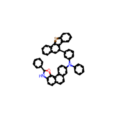 c1ccc(C2Nc3ccc4ccc5cc(N(c6ccccc6)c6cccc(-c7cc8ccccc8c8sc9ccccc9c78)c6)ccc5c4c3O2)cc1